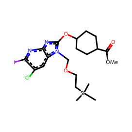 COC(=O)C1CCC(Oc2nc3nc(I)c(Cl)cc3n2COCC[Si](C)(C)C)CC1